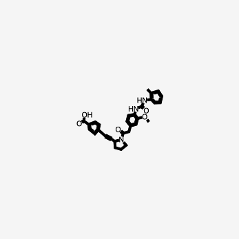 COc1cc(CC(=O)N2CCCC2C#Cc2ccc(C(=O)O)cc2)ccc1NC(=O)Nc1ccccc1C